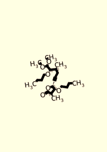 CCCCO[C@H]1[C@@H](C#CC[C@@H](C)[C@H](OCCCC)C(OC)OC)OC(=O)[C@@H]1C